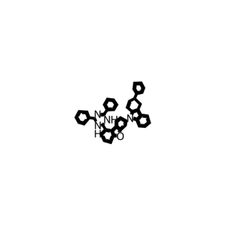 C1=CC(c2ccccc2)Cc2c1n(-c1ccc3c(c1)oc1cccc(C4NC(c5ccccc5)=NC(c5ccccc5)N4)c13)c1ccccc21